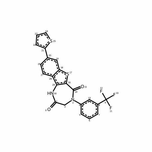 O=C1CN(c2cccc(C(F)(F)F)c2)C(=O)c2sc3cc(-c4cccs4)ccc3c2N1